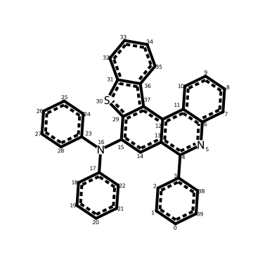 c1ccc(-c2nc3ccccc3c3c2cc(N(c2ccccc2)c2ccccc2)c2sc4ccccc4c23)cc1